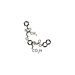 Cc1oc(-c2ccccc2)nc1CCOc1ccc(CCC(=O)O)c(CNC(=O)Oc2ccc3ccccc3c2)c1